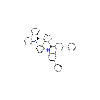 c1ccc(-c2ccc3c(c2)-c2cc(-c4ccccc4)ccc2N2B3c3cccc4c3-c3c(cccc32)N2B4c3ccccc3-c3ccccc32)cc1